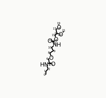 CCCNC(=O)COCCCNC(=O)OCC(COC)OC